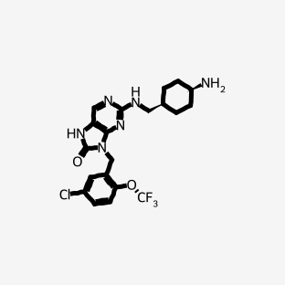 N[C@H]1CC[C@@H](CNc2ncc3[nH]c(=O)n(Cc4cc(Cl)ccc4OC(F)(F)F)c3n2)CC1